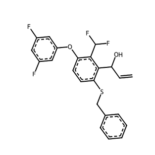 C=CC(O)c1c(SCc2ccccc2)ccc(Oc2cc(F)cc(F)c2)c1C(F)F